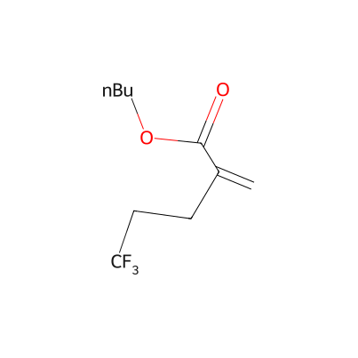 C=C(CCC(F)(F)F)C(=O)OCCCC